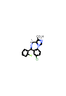 C[C@H]1N=C(c2ccccc2F)c2cc(Cl)ccc2-n2cnc(C(=O)O)c21